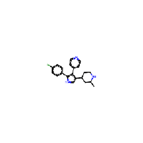 CC1CC(c2c[nH]c(-c3ccc(F)cc3)c2-c2ccncc2)CCN1